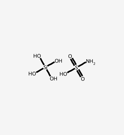 NS(=O)(=O)O.O[Si](O)(O)O